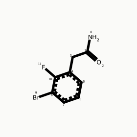 NC(=O)Cc1cccc(Br)c1F